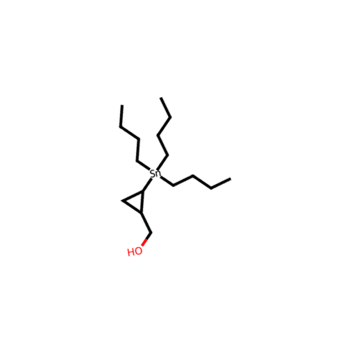 CCC[CH2][Sn]([CH2]CCC)([CH2]CCC)[CH]1CC1CO